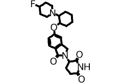 O=C1CCC(N2Cc3cc(OC4CCCCC4N4CCC(F)CC4)ccc3C2=O)C(=O)N1